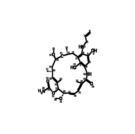 C=CCNc1c(O)cc2c(O)c1C[C@@H](C)C[C@H](OC)C[C@@H](C)/C=C(\C)[C@H](OC(N)=O)[C@@H](OC)/C=C\C=C(/C)C(=O)N2